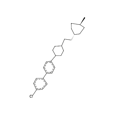 C[C@H]1CC[C@H](CCC2CCC(c3ccc(-c4ccc(Cl)cc4)cc3)CC2)CC1